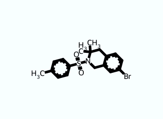 Cc1ccc(S(=O)(=O)N2Cc3cc(Br)ccc3CC2(C)C)cc1